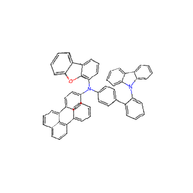 c1ccc(-c2cccc3cccc(-c4ccc(N(c5ccc(-c6ccccc6-n6c7ccccc7c7ccccc76)cc5)c5cccc6c5oc5ccccc56)cc4)c23)cc1